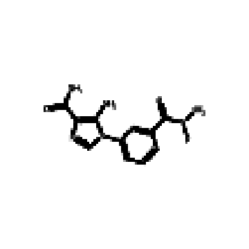 NC(=O)c1ncn(-c2cccc(C(=O)N(F)C(F)(F)F)c2)c1N